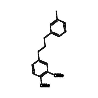 COc1ccc(CCCc2cccc(C)c2)cc1OC